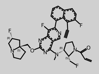 C#Cc1c(F)ccc2cccc(-c3ncc4c(N(C)[C@@H]5CCN(C(=O)C=C)[C@@H]5CF)nc(OC[C@@]56CCCN5C[C@H](F)C6)nc4c3F)c12